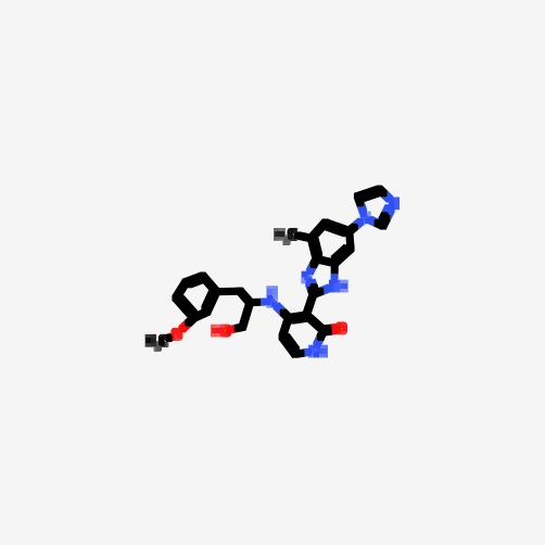 COc1cccc(CC(CO)Nc2cc[nH]c(=O)c2-c2nc3c(C)cc(-n4ccnc4)cc3[nH]2)c1